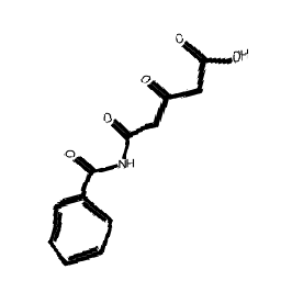 O=C(O)CC(=O)CC(=O)NC(=O)c1ccccc1